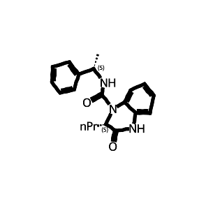 CCC[C@H]1C(=O)Nc2ccccc2N1C(=O)N[C@@H](C)c1ccccc1